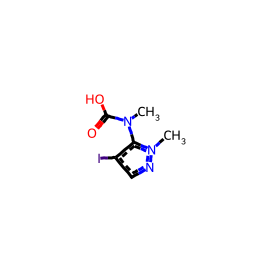 CN(C(=O)O)c1c(I)cnn1C